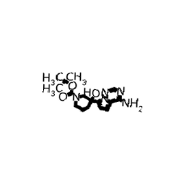 CC(C)(C)OC(=O)N1CCCC(O)(c2ccc3c(N)ncnn23)C1